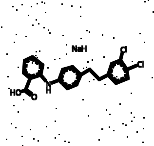 O=C(O)c1ccccc1Nc1ccc(CCc2ccc(Cl)c(Cl)c2)cc1.[NaH]